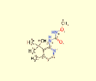 CONC(=O)Nc1nccc(C)c1C(C)(C)C